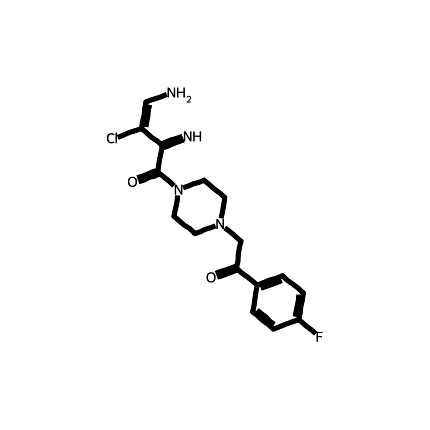 N=C(C(=O)N1CCN(CC(=O)c2ccc(F)cc2)CC1)/C(Cl)=C\N